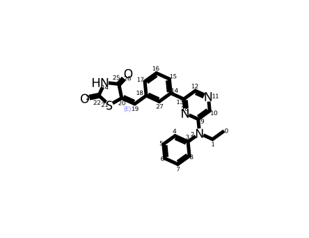 CCN(c1ccccc1)c1cncc(-c2cccc(/C=C3/SC(=O)NC3=O)c2)n1